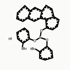 CC(C)(C)c1ccccc1OB(Oc1ccccc1C(C)(C)C)Oc1cccc2ccc3cc4ccccc4cc3c12.I